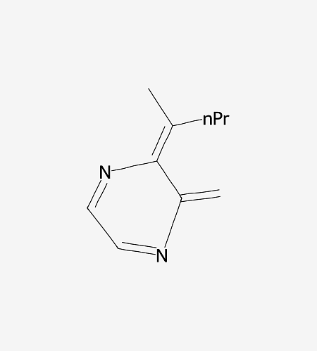 C=c1nccn/c1=C(\C)CCC